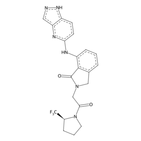 O=C1c2c(cccc2Nc2ccc3[nH]ncc3n2)CN1CC(=O)N1CCC[C@H]1C(F)(F)F